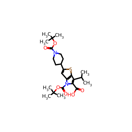 CC(C)c1c(C(=O)O)n(C(=O)OC(C)(C)C)c2cc(C3CCN(C(=O)OC(C)(C)C)CC3)sc12